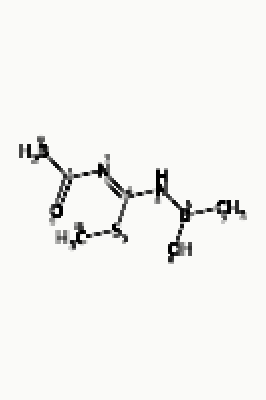 BC(=O)/N=C(/NB(C)O)SC